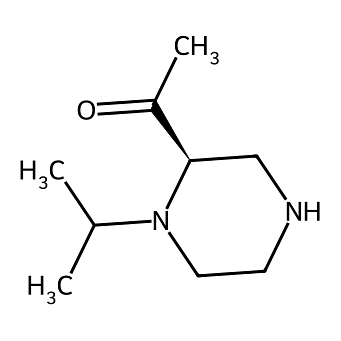 CC(=O)[C@H]1CNCCN1C(C)C